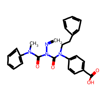 C=NN(C(=O)N(C)c1ccccc1)C(=O)N(CCc1ccccc1)c1ccc(C(=O)O)cc1